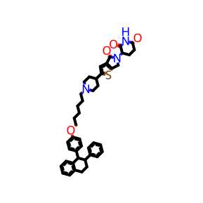 O=C1CCC(N2Cc3sc(C4CCN(CCCCCCOc5ccc(C6c7ccccc7CCC6c6ccccc6)cc5)CC4)cc3C2=O)C(=O)N1